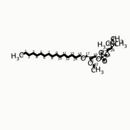 CCCCCCCCCCCCCCCCOC[C@H](COP(=O)([O-])OCC[N+](C)(C)C)OCC